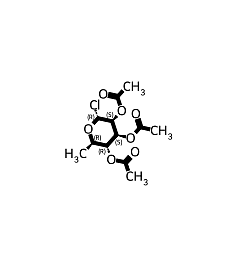 CC(=O)O[C@H]1[C@H](OC(C)=O)[C@@H](C)O[C@H](Cl)[C@H]1OC(C)=O